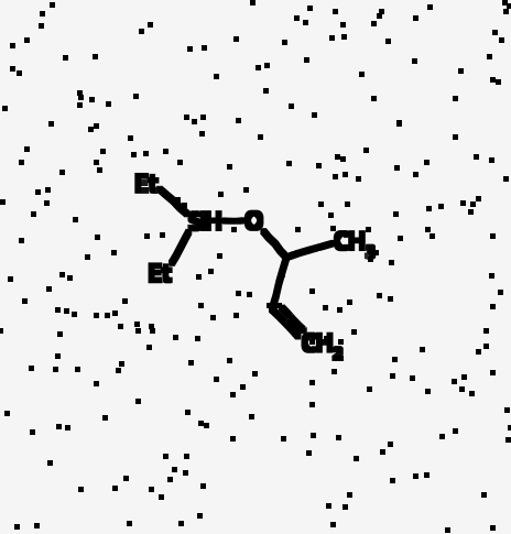 C=CC(C)O[SiH](CC)CC